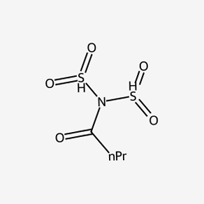 CCCC(=O)N([SH](=O)=O)[SH](=O)=O